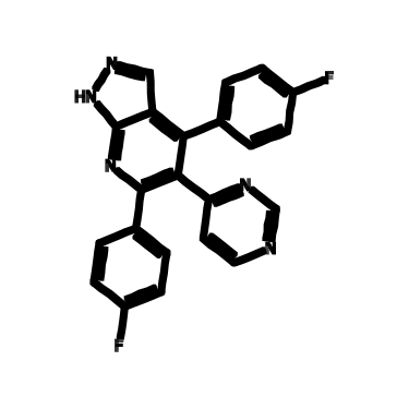 Fc1ccc(-c2nc3[nH]ncc3c(-c3ccc(F)cc3)c2-c2ccncn2)cc1